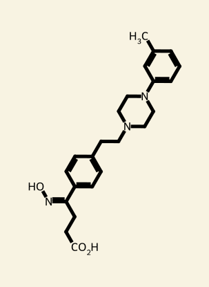 Cc1cccc(N2CCN(CCc3ccc(/C(CCC(=O)O)=N\O)cc3)CC2)c1